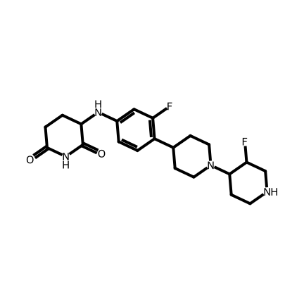 O=C1CCC(Nc2ccc(C3CCN(C4CCNCC4F)CC3)c(F)c2)C(=O)N1